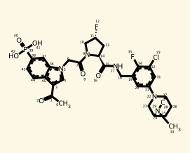 CC(=O)c1cn(CC(=O)N2C[C@H](F)C[C@H]2C(=O)NCc2cc(N3CC4CCC3CN4C)cc(Cl)c2F)c2cc(P(=O)(O)O)ccc12